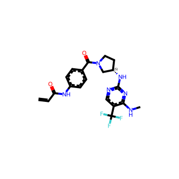 C=CC(=O)Nc1ccc(C(=O)N2CC[C@H](Nc3ncc(C(F)(F)F)c(NC)n3)C2)cc1